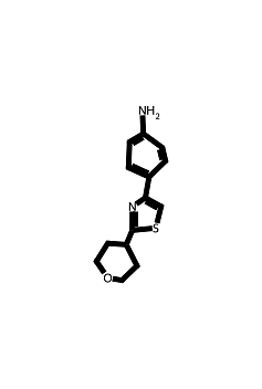 Nc1ccc(-c2csc(C3CCOCC3)n2)cc1